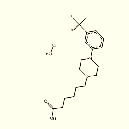 O=C(O)CCCCCN1CCN(c2cccc(C(F)(F)F)c2)CC1.OCl